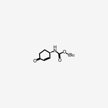 CC(C)(C)OC(=O)N[C@H]1C=CC(=O)CC1